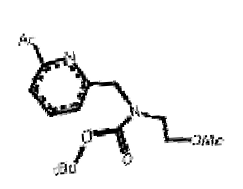 COCCN(Cc1cccc(C(C)=O)n1)C(=O)OC(C)(C)C